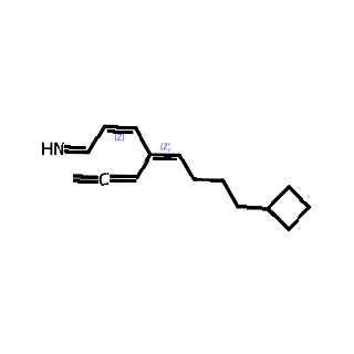 C=C=CC(/C=C\C=N)=C\CCCC1CCC1